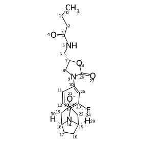 CCCC(=O)NC[C@H]1CN(c2ccc(N3[C@@H]4CC[C@H]3C[S+]([O-])C4)c(F)c2)C(=O)O1